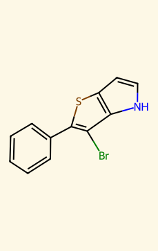 Brc1c(-c2ccccc2)sc2cc[nH]c12